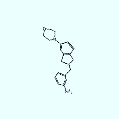 Nc1cccc(CN2Cc3ccc(N4CCOCC4)cc3C2)c1